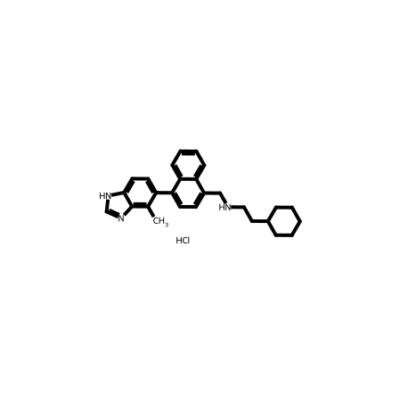 Cc1c(-c2ccc(CNCCC3CCCCC3)c3ccccc23)ccc2[nH]cnc12.Cl